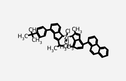 CC1=Cc2c(-c3cccc4c3ccc3ccccc34)ccc(C)c2[CH]1[Zr]([Cl])([Cl])[CH]1C(C(C)C)=Cc2c(-c3ccc(C(C)(C)C)cc3)cccc21